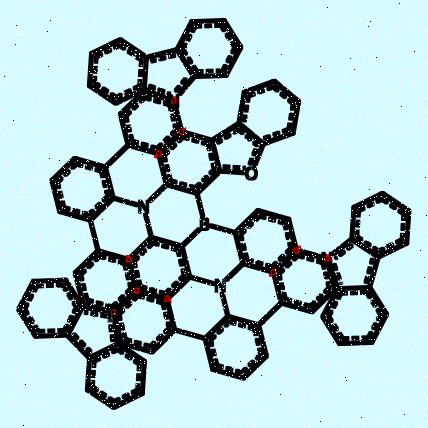 c1ccc(-c2cccc(-c3ccccc3)c2N2c3cc(-n4c5ccccc5c5ccccc54)ccc3B3c4c2cc(-n2c5ccccc5c5ccccc52)cc4N(c2c(-c4ccccc4)cccc2-c2ccccc2)c2cc(-n4c5ccccc5c5ccccc54)c4c(oc5ccccc54)c23)cc1